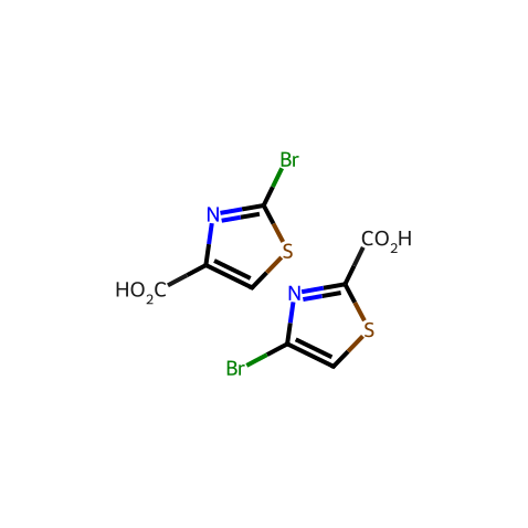 O=C(O)c1csc(Br)n1.O=C(O)c1nc(Br)cs1